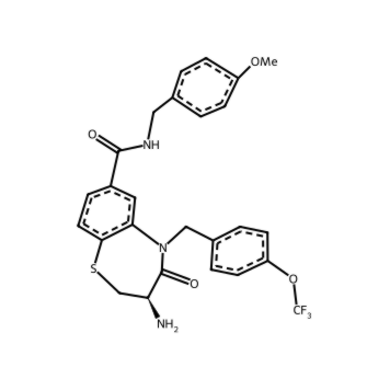 COc1ccc(CNC(=O)c2ccc3c(c2)N(Cc2ccc(OC(F)(F)F)cc2)C(=O)[C@@H](N)CS3)cc1